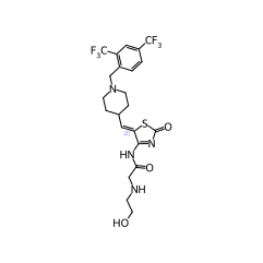 O=C(CNCCO)NC1=NC(=O)S/C1=C\C1CCN(Cc2ccc(C(F)(F)F)cc2C(F)(F)F)CC1